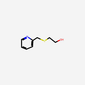 OCCSCc1ccccn1